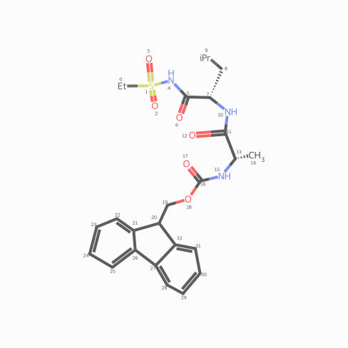 CCS(=O)(=O)NC(=O)[C@H](CC(C)C)NC(=O)[C@H](C)NC(=O)OCC1c2ccccc2-c2ccccc21